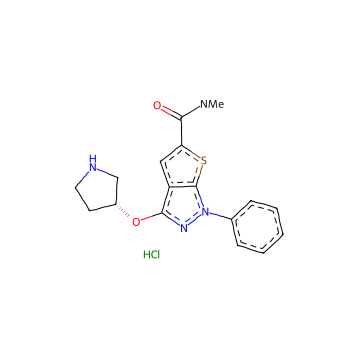 CNC(=O)c1cc2c(O[C@@H]3CCNC3)nn(-c3ccccc3)c2s1.Cl